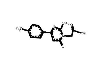 Cc1ccc(-c2cc(=O)n(CC(=O)O)c(C)n2)cc1